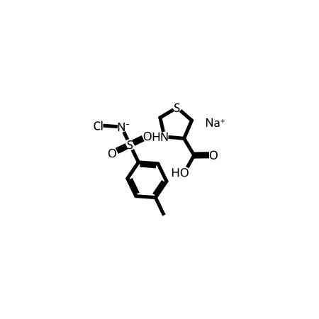 Cc1ccc(S(=O)(=O)[N-]Cl)cc1.O=C(O)C1CSCN1.[Na+]